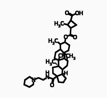 CC1C(C(=O)O)CC1C(=O)OC1CCC2(C)C(CCC3(C)C2CCC2[C@H]4CCCC4(C(=O)NCCN4CCCCC4)CC[C@]23C)C1C